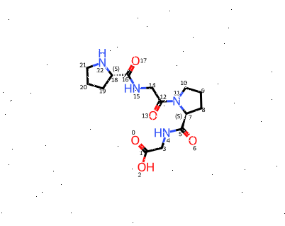 O=C(O)CNC(=O)[C@@H]1CCCN1C(=O)CNC(=O)[C@@H]1CCCN1